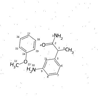 CC(C(N)=O)c1cccc(N)c1.COc1ccccc1